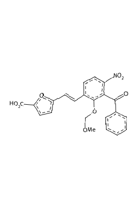 COCOc1c(C=Cc2ccc(C(=O)O)o2)ccc([N+](=O)[O-])c1C(=O)c1ccccc1